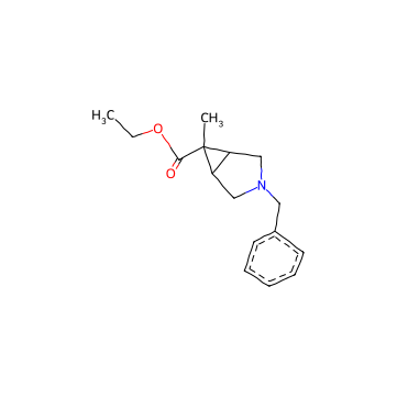 CCOC(=O)C1(C)C2CN(Cc3ccccc3)CC21